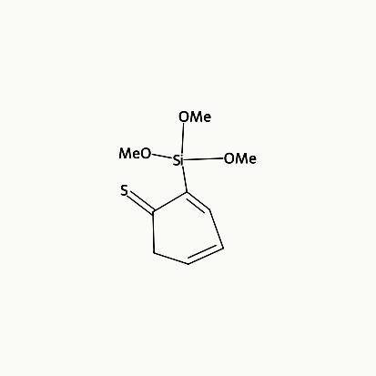 CO[Si](OC)(OC)C1=CC=CCC1=S